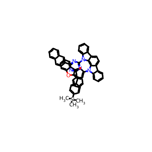 C[Si](C)(C)c1ccc(-c2cc(-n3c4ccccc4c4ccc5c6ccccc6n(-c6nc(-c7ccccc7)nc(-c7ccc8ccccc8c7)n6)c5c43)cc3c2oc2ccccc23)cc1